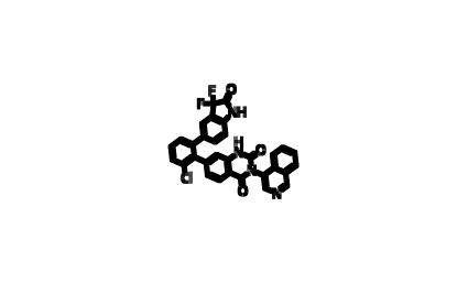 O=C1Nc2ccc(-c3cccc(Cl)c3-c3ccc4c(=O)n(-c5cncc6ccccc56)c(=O)[nH]c4c3)cc2C1(F)F